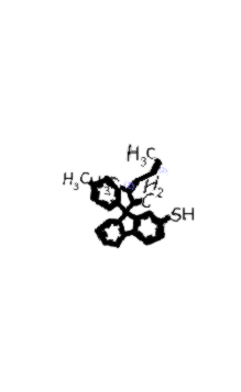 C=C(/C(C)=C\C=C/C)C1(c2ccc(C)cc2)c2ccccc2-c2ccc(S)cc21